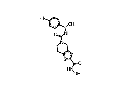 C[C@@H](NC(=O)N1CCc2sc(C(=O)NO)cc2C1)c1ccc(Cl)cc1